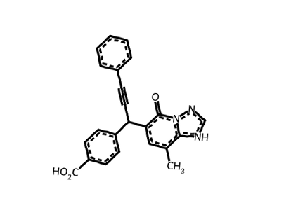 Cc1cc(C(C#Cc2ccccc2)c2ccc(C(=O)O)cc2)c(=O)n2nc[nH]c12